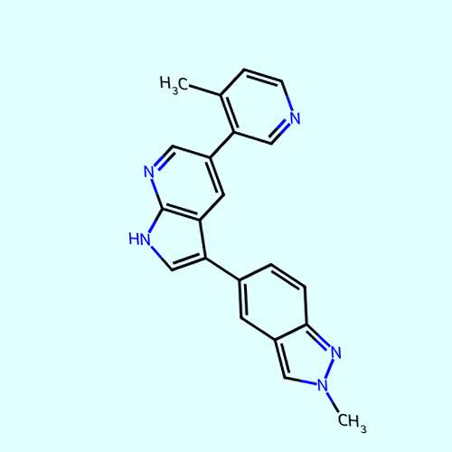 Cc1ccncc1-c1cnc2[nH]cc(-c3ccc4nn(C)cc4c3)c2c1